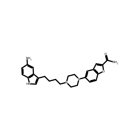 NC(=O)c1cc2cc(N3CCN(CCCCc4c[nH]c5ccc(N)cc45)CC3)ccc2o1